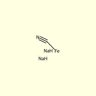 N#[C][Fe].[NaH].[NaH]